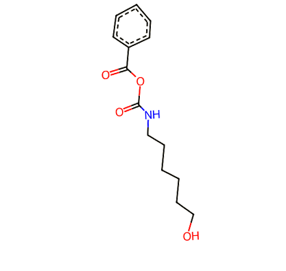 O=C(NCCCCCCO)OC(=O)c1ccccc1